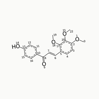 COc1ccc(C=CC(=O)c2ccc(O)cc2)c(OC)c1OC